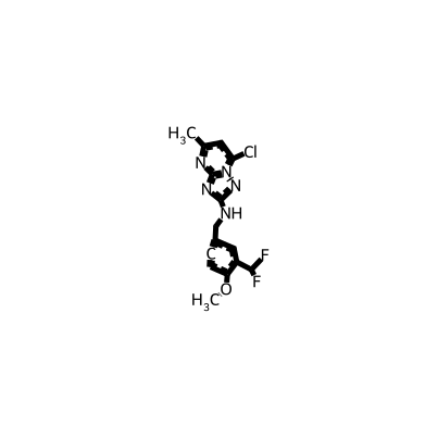 COc1ccc(CNc2nc3nc(C)cc(Cl)n3n2)cc1C(F)F